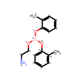 Cc1ccccc1OB(OCCN)Oc1ccccc1C